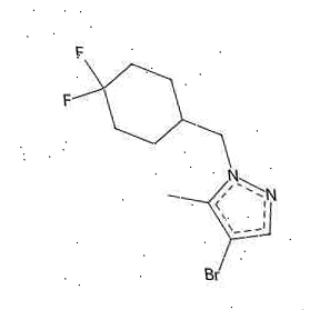 Cc1c(Br)cnn1CC1CCC(F)(F)CC1